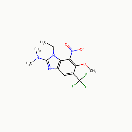 CCn1c(N(C)C)nc2cc(C(F)(F)F)c(OC)c([N+](=O)[O-])c21